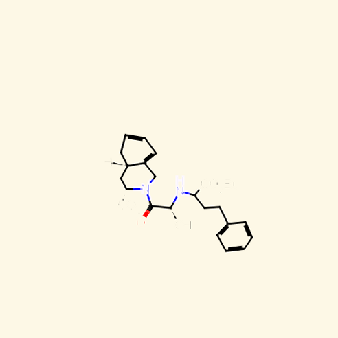 CCOC(=O)C(CCc1ccccc1)N[C@@H](C)C(=O)N1CC2=CC=CC[C@H]2C[C@H]1C(=O)O